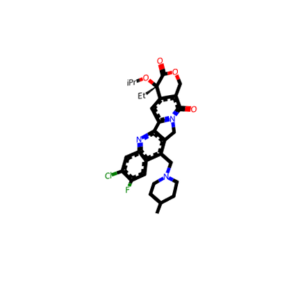 CC[C@@]1(OC(C)C)C(=O)OCc2c1cc1n(c2=O)Cc2c-1nc1cc(Cl)c(F)cc1c2CN1CCC(C)CC1